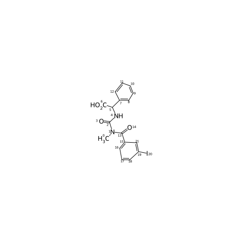 CN(C(=O)NC(C(=O)O)c1ccccc1)C(=O)c1cccc(I)c1